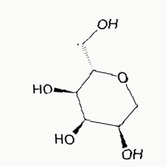 O[CH][C@@H]1OC[C@@H](O)[C@@H](O)[C@H]1O